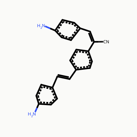 N#CC(=Cc1ccc(N)cc1)c1ccc(C=Cc2ccc(N)cc2)cc1